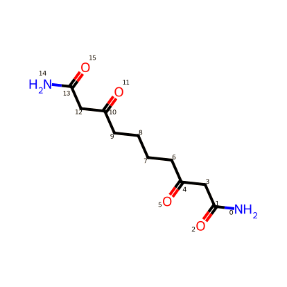 NC(=O)CC(=O)CCCCC(=O)CC(N)=O